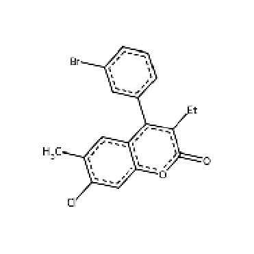 CCc1c(-c2cccc(Br)c2)c2cc(C)c(Cl)cc2oc1=O